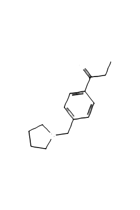 CCC(=O)c1ccc(CN2CCCC2)cc1